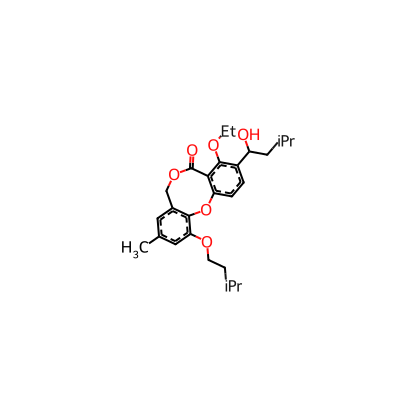 CCOc1c(C(O)CC(C)C)ccc2c1C(=O)OCc1cc(C)cc(OCCC(C)C)c1O2